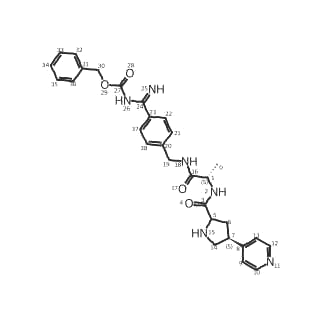 C[C@H](NC(=O)C1C[C@@H](c2ccncc2)CN1)C(=O)NCc1ccc(C(=N)NC(=O)OCc2ccccc2)cc1